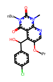 CCCCn1c(=O)c2c(C(O)c3ccc(Cl)cc3)c(OC(C)C)cnc2n(C)c1=O